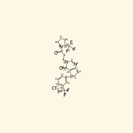 O=C(CCn1cnc2scc(-c3ccc(Cl)c(C(F)(F)F)c3)c2c1=O)N1CCCC1C(F)(F)F